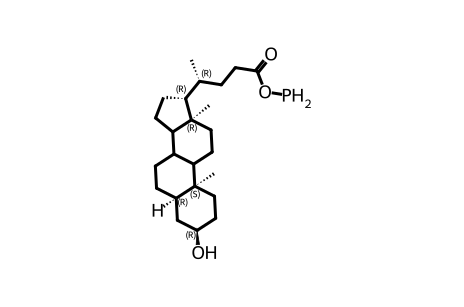 C[C@H](CCC(=O)OP)[C@H]1CCC2C3CC[C@@H]4C[C@H](O)CC[C@]4(C)C3CC[C@@]21C